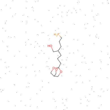 OCC(CCCP)CCCC12OCC(CO1)CO2